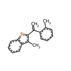 C=C(c1ccccc1C)c1sc2ccccc2c1C